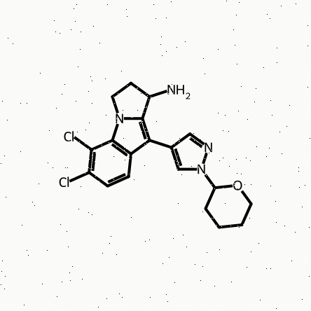 NC1CCn2c1c(-c1cnn(C3CCCCO3)c1)c1ccc(Cl)c(Cl)c12